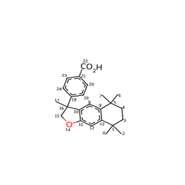 CC1(C)CCC(C)(C)c2cc3c(cc21)OCC3(C)c1ccc(C(=O)O)cc1